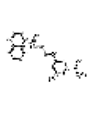 COC(=O)c1cc(Br)cc(OCCN[C@H](C)c2cccc3ccccc23)c1